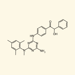 Cc1cc(C)c(N(C)c2nc(N)nc(Nc3ccc(C(=O)C(O)c4ccccc4)cc3)n2)c(C)c1